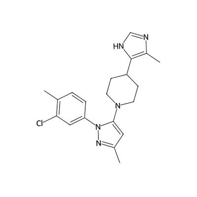 Cc1cc(N2CCC(c3[nH]cnc3C)CC2)n(-c2ccc(C)c(Cl)c2)n1